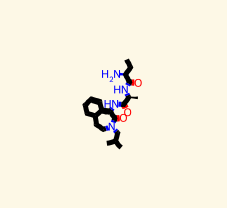 CC[C@H](N)C(=O)N[C@@H](C)C(=O)NC1=C2C=CCCC2CCN(CC(C)C)C1=O